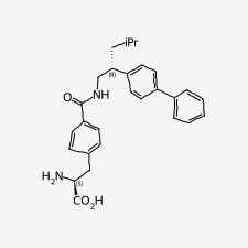 CC(C)C[C@@H](CNC(=O)c1ccc(C[C@H](N)C(=O)O)cc1)c1ccc(-c2ccccc2)cc1